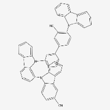 N#Cc1ccc2c(c1)c1ccccc1n2-c1cccc2c3ccccc3n(-c3cccc(-c4ccc(-n5c6ccccc6c6ccccc65)c(C#N)c4)c3)c12